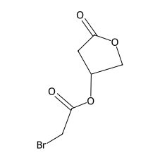 O=C1CC(OC(=O)CBr)CO1